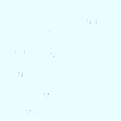 CCC(C)CN(CC(OC)OC)C(=O)C(C)NC(=O)CCNC(=O)O